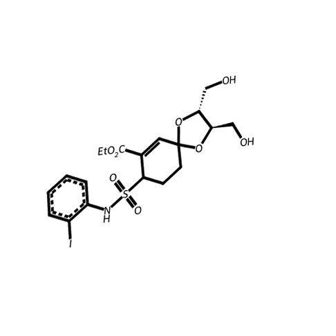 CCOC(=O)C1=CC2(CCC1S(=O)(=O)Nc1ccccc1I)O[C@H](CO)[C@@H](CO)O2